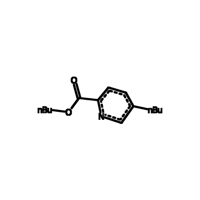 CCCCOC(=O)c1ccc(CCCC)cn1